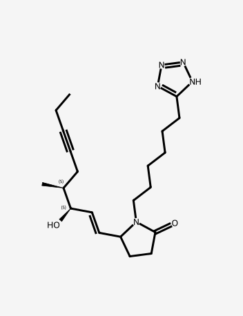 CCC#CC[C@H](C)[C@H](O)C=CC1CCC(=O)N1CCCCCCc1nnn[nH]1